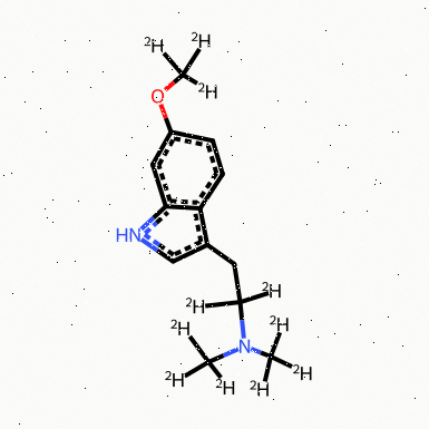 [2H]C([2H])([2H])Oc1ccc2c(CC([2H])([2H])N(C([2H])([2H])[2H])C([2H])([2H])[2H])c[nH]c2c1